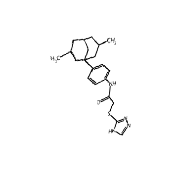 CC1CC2CC(C)CC(c3ccc(NC(=O)CSc4nnc[nH]4)cc3)(C1)C2